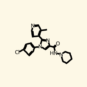 Cc1cnccc1-c1nc(C(=O)NN2CCCCC2)cn1-c1ccc(Cl)cc1